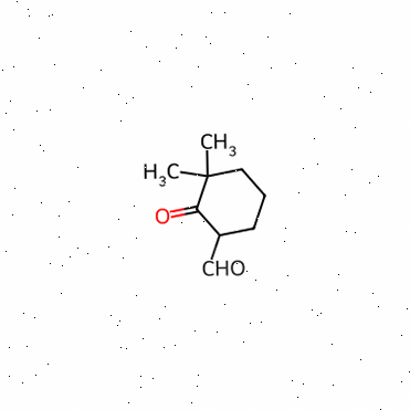 CC1(C)CCCC(C=O)C1=O